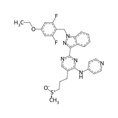 CCOc1cc(F)c(Cn2nc(-c3ncc(CCC[S@@+](C)[O-])c(Nc4ccncc4)n3)c3ccccc32)c(F)c1